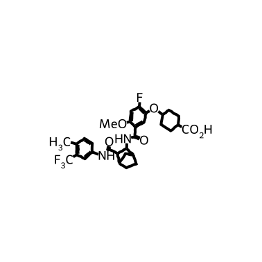 COc1cc(F)c(OC2CCC(C(=O)O)CC2)cc1C(=O)NC1C2CCC(C2)C1C(=O)Nc1ccc(C)c(C(F)(F)F)c1